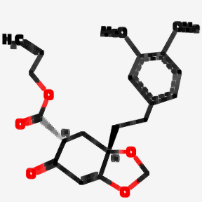 C=CCOC(=O)[C@@H]1C[C@]2(CCc3ccc(OC)c(OC)c3)OCOC2=CC1=O